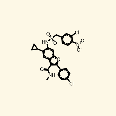 CNC(=O)c1c(-c2ccc(Cl)cc2)oc2cc(NS(=O)(=O)Cc3ccc([N+](=O)[O-])c(Cl)c3)c(C3CC3)cc12